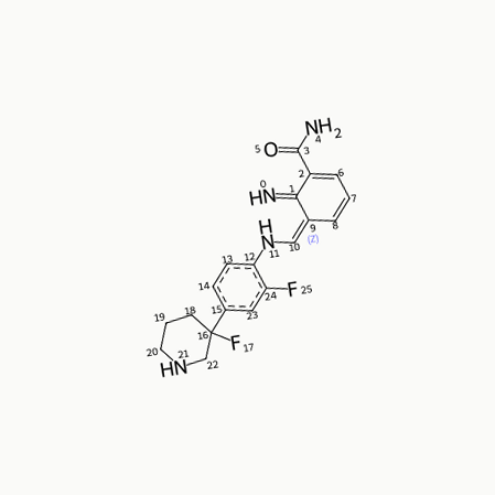 N=C1C(C(N)=O)=CC=C/C1=C/Nc1ccc(C2(F)CCCNC2)cc1F